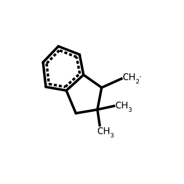 [CH2]C1c2ccccc2CC1(C)C